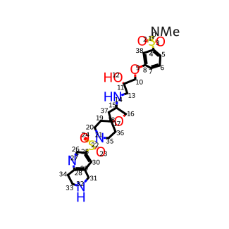 CNS(=O)(=O)c1cccc(OCC(O)CNC2COC3(CCN(S(=O)(=O)c4cnc5c(c4)CNCC5)CC3)C2)c1